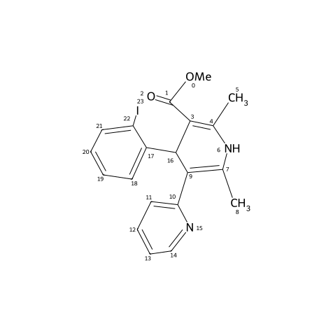 COC(=O)C1=C(C)NC(C)=C(c2ccccn2)C1c1ccccc1I